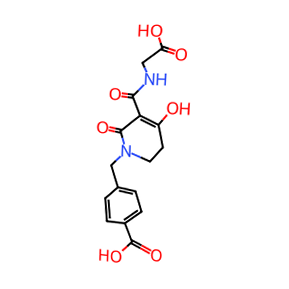 O=C(O)CNC(=O)C1=C(O)CCN(Cc2ccc(C(=O)O)cc2)C1=O